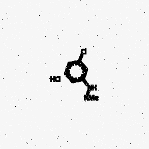 CNNc1cccc(Cl)c1.Cl